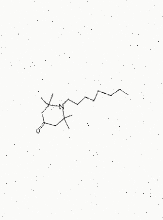 CCCCCCCCN1C(C)(C)CC(=O)CC1(C)C